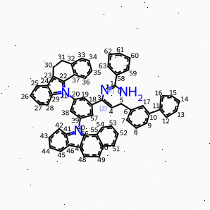 N/C(=N\C(=C/Cc1cccc(-c2ccccc2)c1)c1cc(-n2c3c(c4ccccc42)CCc2ccccc2-3)cc(-n2c3ccccc3c3ccc4ccccc4c32)c1)c1ccccc1